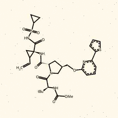 C=CC1C[C@]1(NC(=O)[C@@H]1C[C@@H](COc2cccc(-c3cccs3)n2)CN1C(=O)[C@@H](NC(=O)OC)C(C)(C)C)C(=O)NS(=O)(=O)C1CC1